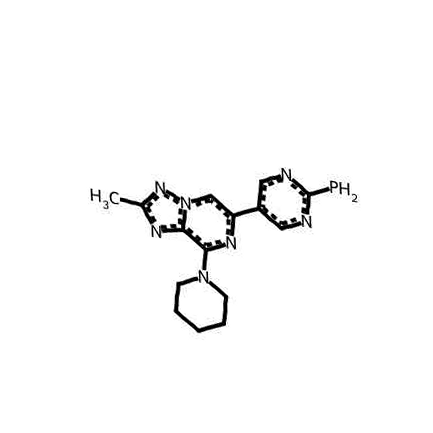 Cc1nc2c(N3CCCCC3)nc(-c3cnc(P)nc3)cn2n1